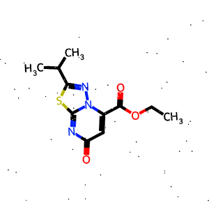 CCOC(=O)c1cc(=O)nc2sc(C(C)C)nn12